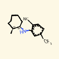 C[C@H]1CCCC[C@H]1Nc1cc(C(F)(F)F)ccc1C#N